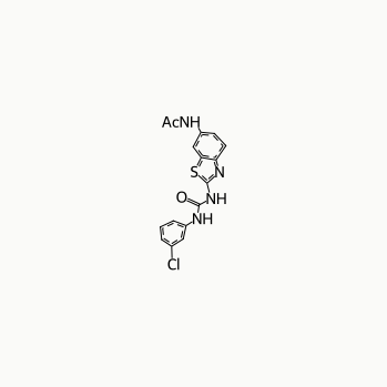 CC(=O)Nc1ccc2nc(NC(=O)Nc3cccc(Cl)c3)sc2c1